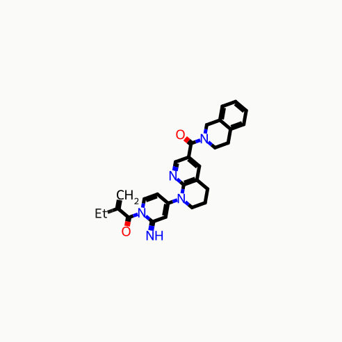 C=C(CC)C(=O)n1ccc(N2CCCc3cc(C(=O)N4CCc5ccccc5C4)cnc32)cc1=N